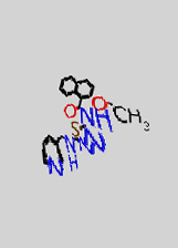 CCOc1ccc2ccccc2c1C(=O)Nc1nnc(NCc2cccnc2)s1